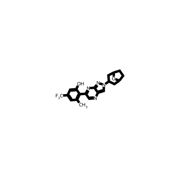 Cc1cc(C(F)(F)F)cc(O)c1-c1cnc2cn(C3CC4CCC(C3)O4)nc2n1